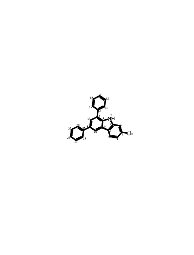 Clc1ccc2c(c1)[nH]c1c(-c3ccccc3)cc(-c3ccccc3)cc12